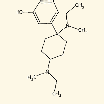 CCN(C)C1CCC(c2cccc(O)c2)(N(C)CC)CC1